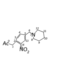 CC(=O)Cc1ccc(CN2CCCCC2)cc1[N+](=O)[O-]